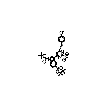 COc1ccc(COc2cc(-c3cn(C(=O)OC(C)(C)C)c4ccc(B5OC(C)(C)C(C)(C)O5)cc34)nc(S(C)(=O)=O)n2)cc1